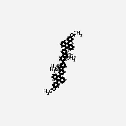 CCOc1ccc(-c2c3ccccc3c(-c3ccc4c(c3)C(C)(C)c3cc(-c5ccc6c(c5)C(C)(C)c5cc(-c7c8ccccc8c(-c8ccc(OCC)cc8)c8ccccc78)ccc5-6)ccc3-4)c3ccccc23)cc1